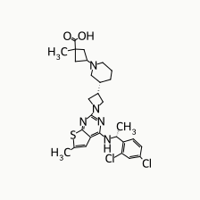 Cc1cc2c(N[C@H](C)c3ccc(Cl)cc3Cl)nc(N3CC([C@H]4CCCN(C5CC(C)(C(=O)O)C5)C4)C3)nc2s1